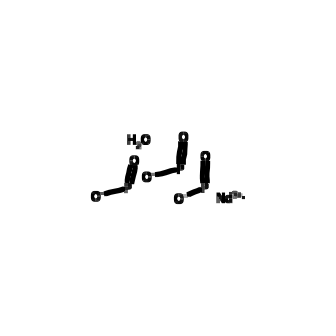 O.O=P[O-].O=P[O-].O=P[O-].[Nd+3]